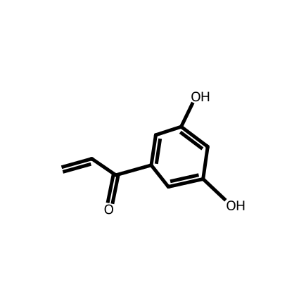 C=CC(=O)c1cc(O)cc(O)c1